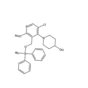 COc1ncc(Cl)c(N2CCC(O)CC2)c1CO[Si](c1ccccc1)(c1ccccc1)C(C)(C)C